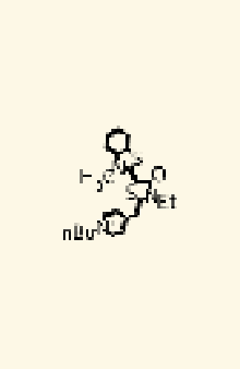 CCCC[n+]1ccc(C=c2sc(=C3Sc4ccccc4N3C)c(=O)n2CC)cc1